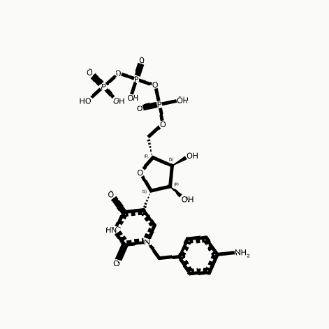 Nc1ccc(Cn2cc([C@@H]3O[C@H](COP(=O)(O)OP(=O)(O)OP(=O)(O)O)[C@@H](O)[C@H]3O)c(=O)[nH]c2=O)cc1